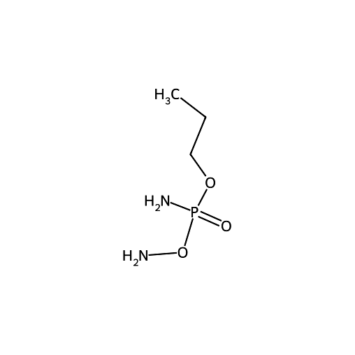 CCCOP(N)(=O)ON